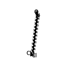 C[Si](Cl)(Cl)CCCCCCCCCCCCCCCCCCCCCCN=C=O